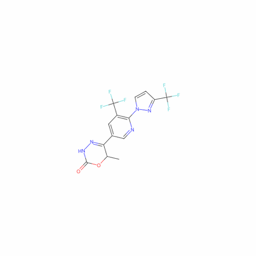 CC1OC(=O)NN=C1c1cnc(-n2ccc(C(F)(F)F)n2)c(C(F)(F)F)c1